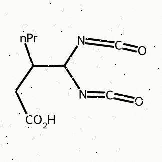 CCCC(CC(=O)O)C(N=C=O)N=C=O